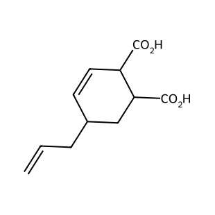 C=CCC1C=CC(C(=O)O)C(C(=O)O)C1